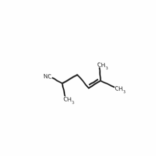 CC(C)=CCC(C)C#N